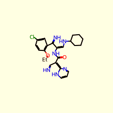 CCOc1ccc(Cl)cc1C(=N)/C(=C\NC1CCCCC1)NC(=O)/C(C=N)=C1\N=CC=CN1